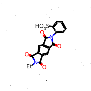 CCn1c(=O)c2cc3c(=O)n(-c4ccccc4S(=O)(=O)O)c(=O)c3cc2c1=O